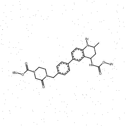 CC(=O)N1c2ccc(-c3ccc(CN4CCN(C(=O)OC(C)(C)C)CC4=O)cc3)cc2C(NC(=O)OC(C)C)CC1C